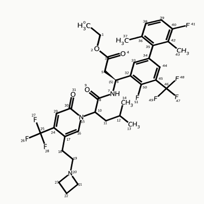 CCOC(=O)C[C@H](NC(=O)C(CC(C)C)n1cc(CCN2CCC2)c(C(F)(F)F)cc1=O)c1cc(-c2c(C)ccc(F)c2C)cc(C(F)(F)F)c1F